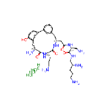 Cl.Cl.Cl.Cl.NCCCC(N)CNC(=O)[C@H](CN)NC(=O)C[C@@H]1Cc2cccc(c2)-c2ccc(O)c(c2)C[C@H](N)C(=O)N[C@@H](CCCN)C(=O)N1